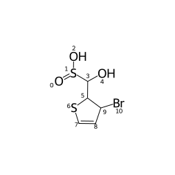 O=S(O)C(O)C1SC=CC1Br